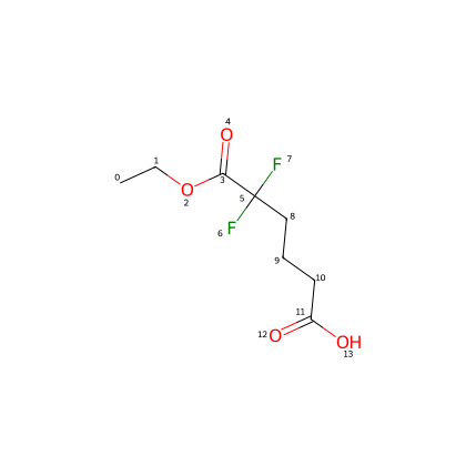 CCOC(=O)C(F)(F)CCCC(=O)O